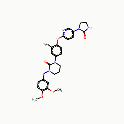 COc1ccc(CN2CCCN(c3ccc(Oc4ccc(N5CCNC5=O)cn4)c(C)c3)C2=O)cc1OC